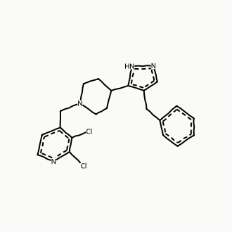 Clc1nccc(CN2CCC(c3[nH]ncc3Cc3ccccc3)CC2)c1Cl